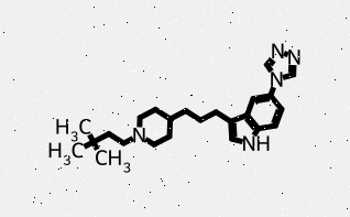 CC(C)(C)CCN1CCC(CCCc2c[nH]c3ccc(-n4cnnc4)cc23)CC1